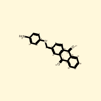 Nc1ccc(OCc2ccc3c(c2)C(=O)c2ccccc2C3=O)cc1